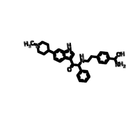 CN1CCC(c2ccc3c(C(=O)C(NCCc4ccc(C(N)O)cc4)c4ccccc4)c[nH]c3c2)CC1